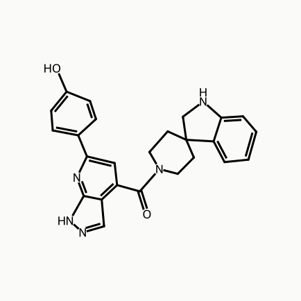 O=C(c1cc(-c2ccc(O)cc2)nc2[nH]ncc12)N1CCC2(CC1)CNc1ccccc12